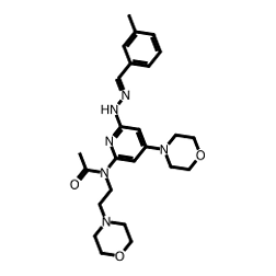 CC(=O)N(CCN1CCOCC1)c1cc(N2CCOCC2)cc(N/N=C/c2cccc(C)c2)n1